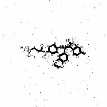 CN(C)CCC(=O)N(C)c1ccc(N/C(=C2\C(=O)Nc3cc(F)ccc32)c2ccc3c(c2)OC=CO3)cc1